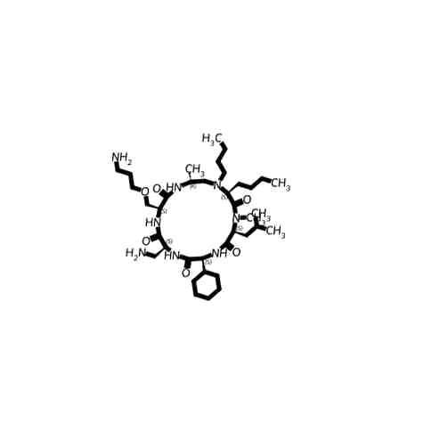 CCCC[C@H]1C(=O)N(C)[C@@H](CC(C)C)C(=O)N[C@@H](C2CCCCC2)C(=O)N[C@@H](CN)C(=O)N[C@@H](COCCCN)C(=O)N[C@H](C)CN1CCCC